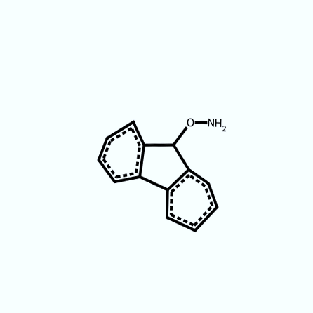 NOC1c2ccccc2-c2ccccc21